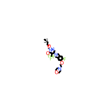 C[Si](C)(C)CCOCn1ncc(N2Cc3cc(F)c(OCCN4CCOCC4)cc3C2)c(C(F)(F)F)c1=O